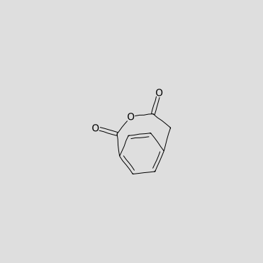 O=C1Cc2ccc(cc2)C(=O)O1